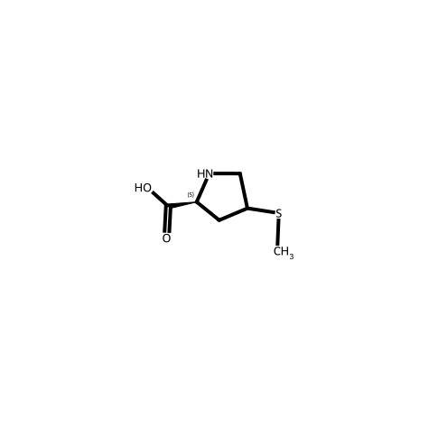 CSC1CN[C@H](C(=O)O)C1